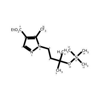 CCOC(=O)c1cnn(CCC(C)(C)O[Si](C)(C)C)c1C(F)(F)F